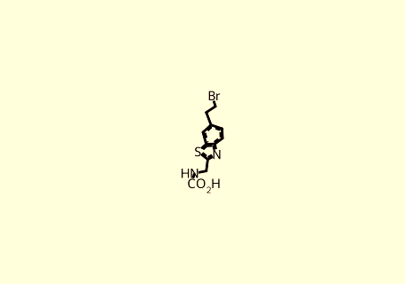 O=C(O)NCc1nc2ccc(CCBr)cc2s1